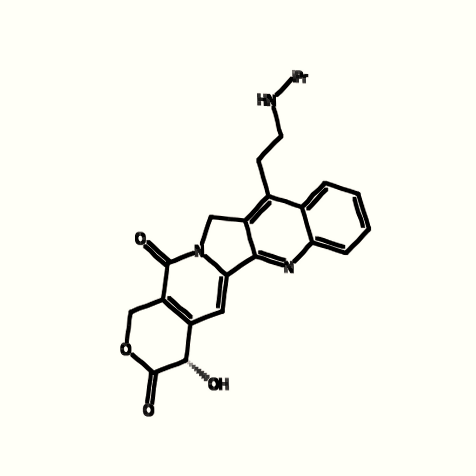 CC(C)NCCc1c2c(nc3ccccc13)-c1cc3c(c(=O)n1C2)COC(=O)[C@H]3O